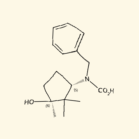 CC1(C)[C@@H](N(Cc2ccccc2)C(=O)O)CC[C@]1(C)O